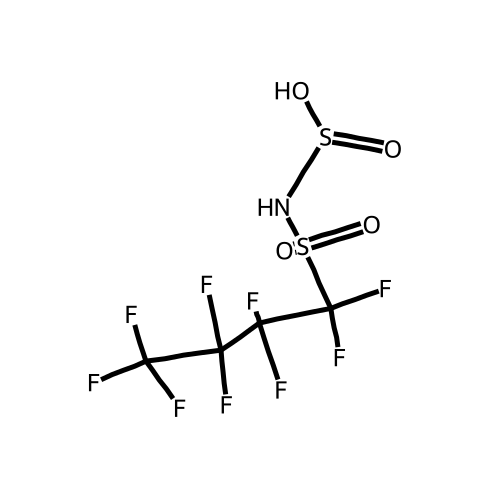 O=S(O)NS(=O)(=O)C(F)(F)C(F)(F)C(F)(F)C(F)(F)F